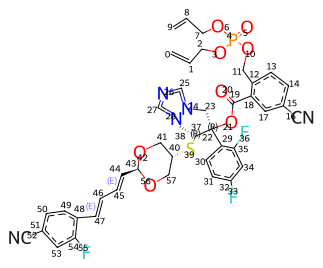 C=CCOP(=O)(OCC=C)OCc1ccc(C#N)cc1C(=O)O[C@@](Cn1cncn1)(c1ccc(F)cc1F)[C@@H](C)S[C@H]1CO[C@H](/C=C/C=C/c2ccc(C#N)cc2F)OC1